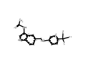 CC(=O)Nc1c[nH]c2ccc(CNc3ccc(C(F)(F)F)nc3)cc12